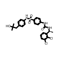 C[C@H](NC(=O)Nc1ccc(S(=O)(=O)Nc2ccc(CC(C)(C)O)cc2)cc1)c1cccc(Cl)c1Cl